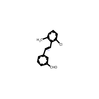 Cc1cccc(Cl)c1/C=C/c1cccc(C=O)c1